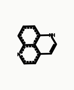 C1=Cc2ccnc3cccc(c23)N1